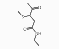 CCNC(=O)CC(SC)C(C)=O